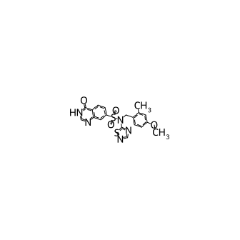 COc1ccc(CN(c2ncns2)S(=O)(=O)c2ccc3c(=O)[nH]cnc3c2)c(C)c1